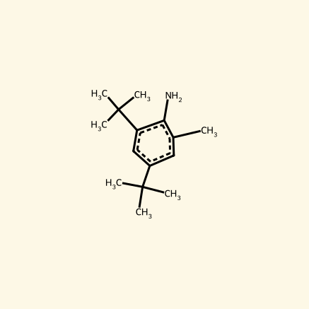 Cc1cc(C(C)(C)C)cc(C(C)(C)C)c1N